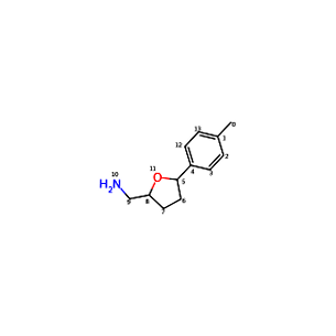 Cc1ccc(C2CCC(CN)O2)cc1